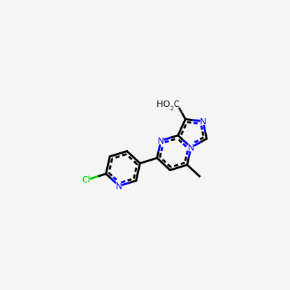 Cc1cc(-c2ccc(Cl)nc2)nc2c(C(=O)O)ncn12